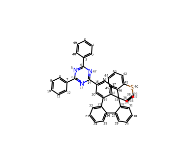 c1ccc(-c2nc(-c3ccccc3)nc(-c3ccc4c(c3)-c3ccccc3-c3ccccc3C43c4ccccc4Sc4ccccc43)n2)cc1